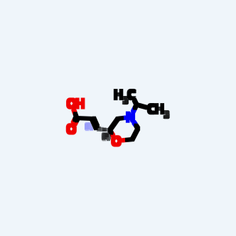 CC(C)N1CCO[C@H](/C=C/C(=O)O)C1